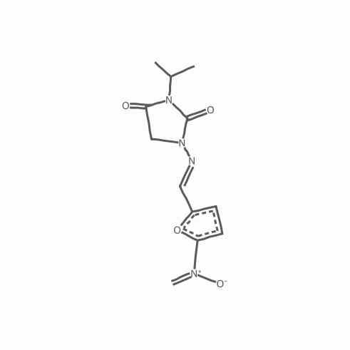 C=[N+]([O-])c1ccc(/C=N/N2CC(=O)N(C(C)C)C2=O)o1